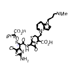 CNCCCn1ccc2c1ccc[n+]2CC1=C(C(=O)O)N2C(=O)C(NC(=O)/C(=N\O[C@@H](C(=O)O)C(C)C)c3nc(N)sc3Cl)C2SC1